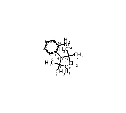 CC(C)(C)N(c1ccccc1N)C(C)(C)C